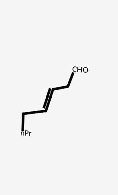 CCCCC=CC[C]=O